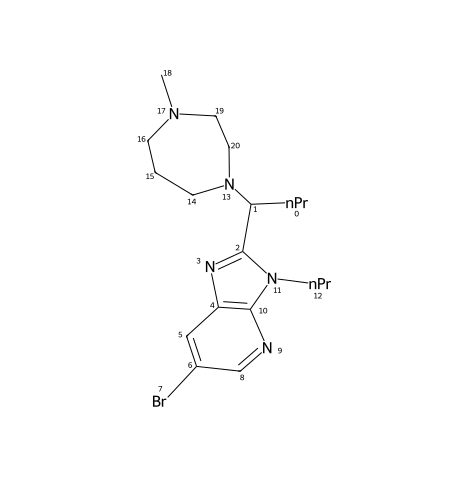 CCCC(c1nc2cc(Br)cnc2n1CCC)N1CCCN(C)CC1